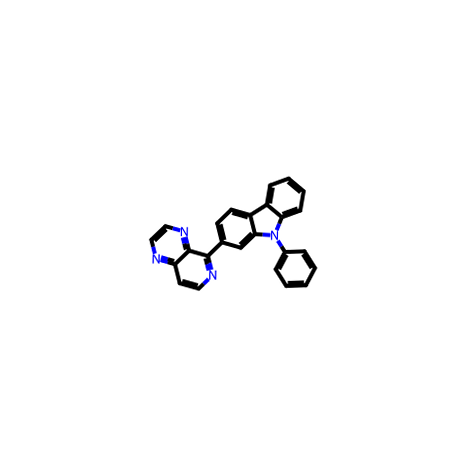 c1ccc(-n2c3ccccc3c3ccc(-c4nccc5nccnc45)cc32)cc1